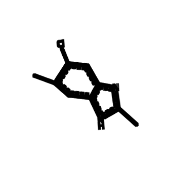 Cc1nc2cc(Cl)c(C)cc2[nH]1